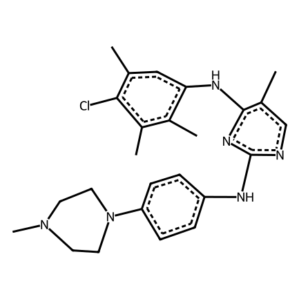 Cc1cnc(Nc2ccc(N3CCN(C)CC3)cc2)nc1Nc1cc(C)c(Cl)c(C)c1C